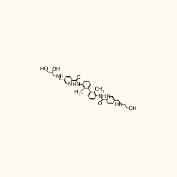 Cc1c(NC(=O)c2ccc(CNCCO)cn2)cccc1-c1cccc(NC(=O)c2ccc(CNC[C@H](O)CO)cn2)c1C